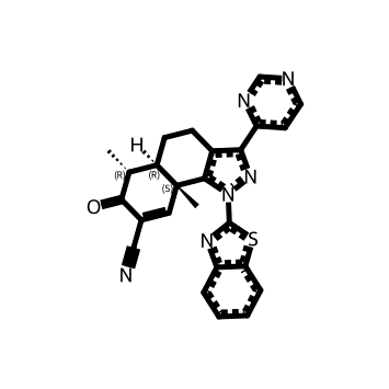 C[C@H]1C(=O)C(C#N)=C[C@@]2(C)c3c(c(-c4ccncn4)nn3-c3nc4ccccc4s3)CC[C@H]12